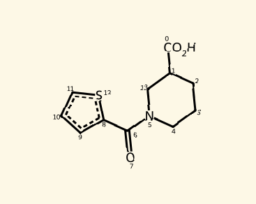 O=C(O)C1CCCN(C(=O)c2cccs2)C1